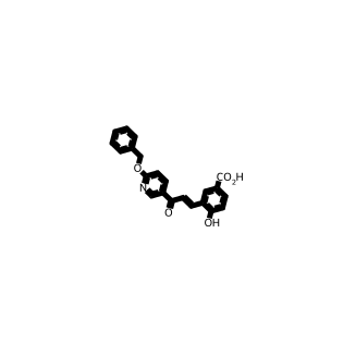 O=C(O)c1ccc(O)c(C=CC(=O)c2ccc(OCc3ccccc3)nc2)c1